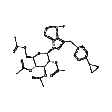 CC(=O)OC[C@H]1O[C@@H](n2cc(Cc3ccc(C4CC4)cc3)c3c(F)cccc32)[C@H](OC(C)=O)[C@@H](OC(C)=O)[C@@H]1OC(C)=O